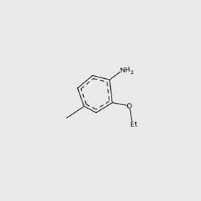 CCOc1cc(C)ccc1N